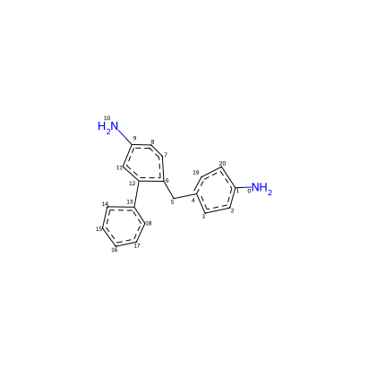 Nc1ccc(Cc2ccc(N)cc2-c2ccccc2)cc1